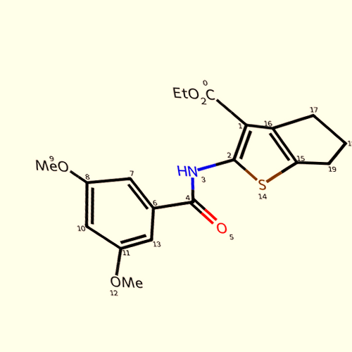 CCOC(=O)c1c(NC(=O)c2cc(OC)cc(OC)c2)sc2c1CCC2